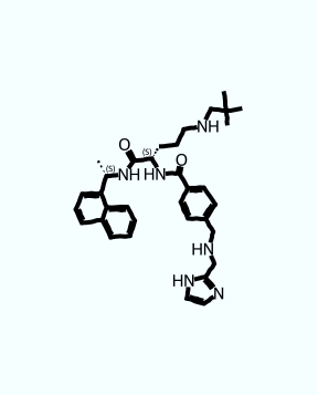 C[C@H](NC(=O)[C@H](CCCNCC(C)(C)C)NC(=O)c1ccc(CNCc2ncc[nH]2)cc1)c1cccc2ccccc12